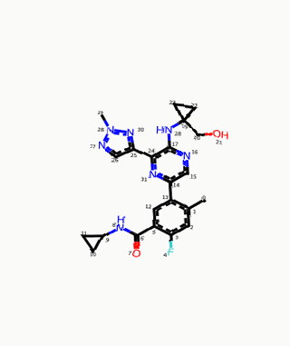 Cc1cc(F)c(C(=O)NC2CC2)cc1-c1cnc(NC2(CO)CC2)c(-c2cnn(C)n2)n1